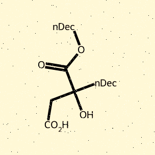 CCCCCCCCCCOC(=O)C(O)(CCCCCCCCCC)CC(=O)O